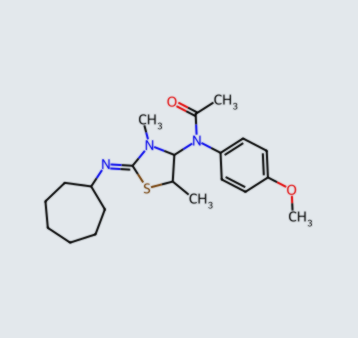 COc1ccc(N(C(C)=O)C2C(C)SC(=NC3CCCCCC3)N2C)cc1